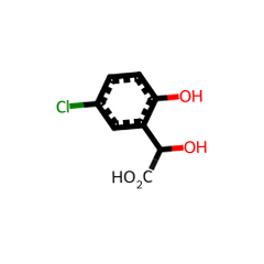 O=C(O)C(O)c1cc(Cl)ccc1O